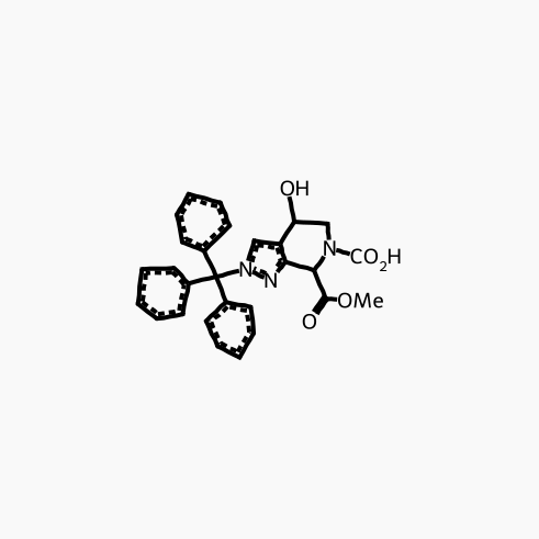 COC(=O)C1c2nn(C(c3ccccc3)(c3ccccc3)c3ccccc3)cc2C(O)CN1C(=O)O